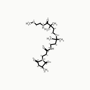 COCCNC(=O)C(C)(C)CCOC(C)(C)CCNC(=O)CCN1C(=O)CC(C)C1=O